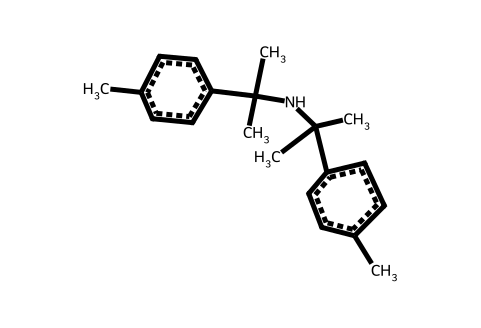 Cc1ccc(C(C)(C)NC(C)(C)c2ccc(C)cc2)cc1